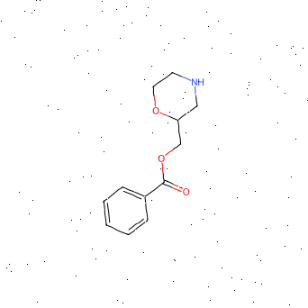 O=C(OCC1CNCCO1)c1ccccc1